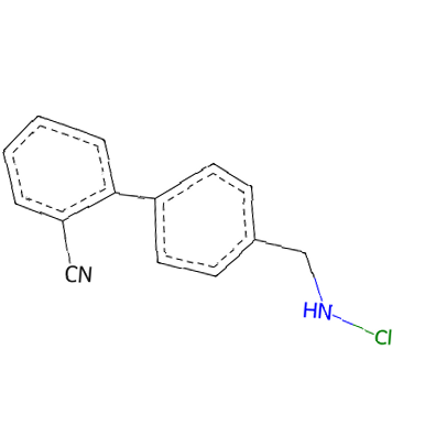 N#Cc1ccccc1-c1ccc(CNCl)cc1